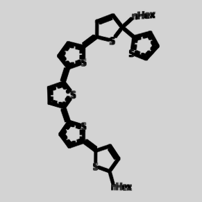 CCCCCCC1C=CC(=c2ccc(=c3ccc(=c4ccc(=C5C=CC(CCCCCC)(c6cccs6)S5)s4)s3)s2)S1